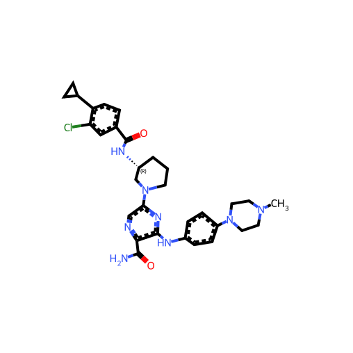 CN1CCN(c2ccc(Nc3nc(N4CCC[C@@H](NC(=O)c5ccc(C6CC6)c(Cl)c5)C4)cnc3C(N)=O)cc2)CC1